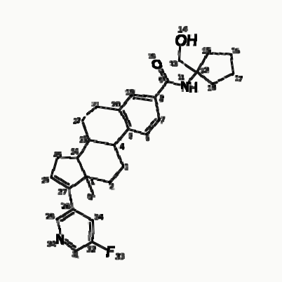 CC12CCC3c4ccc(C(=O)NC5(CO)CCCC5)cc4CCC3C1CC=C2c1cncc(F)c1